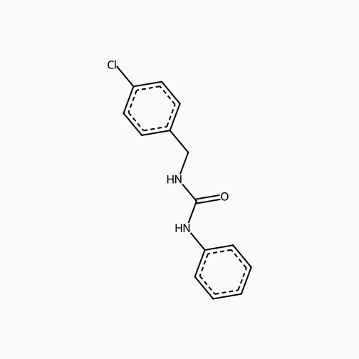 O=C(NCc1ccc(Cl)cc1)Nc1ccccc1